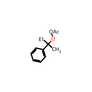 CCC(C)(OOC(C)=O)c1ccccc1